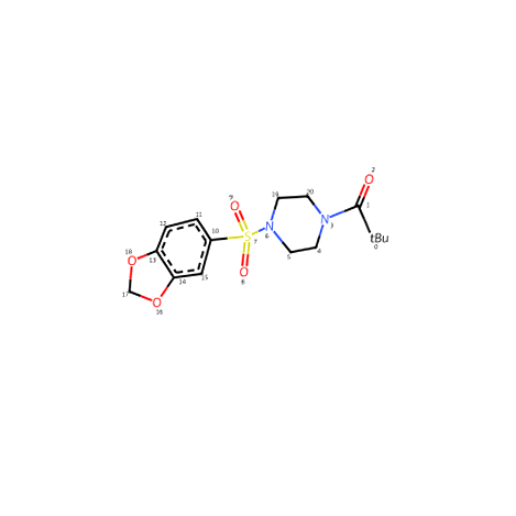 CC(C)(C)C(=O)N1CCN(S(=O)(=O)c2ccc3c(c2)OCO3)CC1